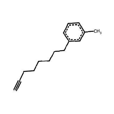 [C]#CCCCCCCc1cccc(C)c1